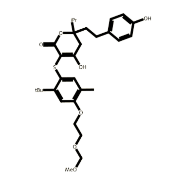 COCOCCOc1cc(C(C)(C)C)c(SC2=C(O)CC(CCc3ccc(O)cc3)(C(C)C)OC2=O)cc1C